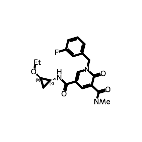 CCO[C@@H]1C[C@H]1NC(=O)c1cc(C(=O)NC)c(=O)n(Cc2cccc(F)c2)c1